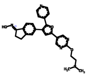 CN(C)CCOc1ncc(-c2cc(-c3ccc4c(c3)CC/C4=N\O)c(-c3ccncc3)o2)cn1